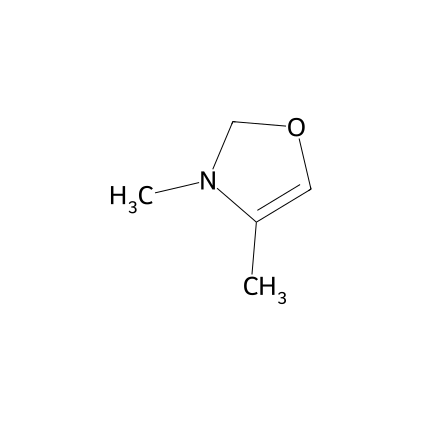 CC1=COCN1C